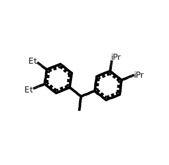 CCc1ccc(C(C)c2ccc(C(C)C)c(C(C)C)c2)cc1CC